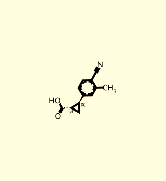 Cc1cc([C@H]2C[C@@H]2C(=O)O)ccc1C#N